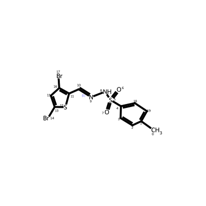 Cc1ccc(S(=O)(=O)N/N=C/c2sc(Br)cc2Br)cc1